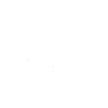 CCC(O)(CC)c1ccc2cc(-c3n[nH]c4cc(-c5ccncc5)sc34)[nH]c2c1